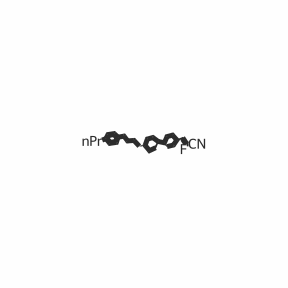 CCCc1ccc(CCCC[C@H]2CC[C@H]([C@H]3CC[C@H](C=C(F)C#N)CC3)CC2)cc1